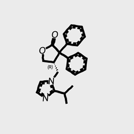 CC(C)c1nccn1C[C@@H]1COC(=O)C1(c1ccccc1)c1ccccc1